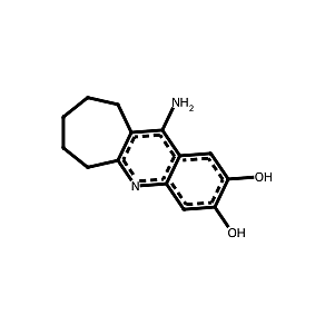 Nc1c2c(nc3cc(O)c(O)cc13)CCCCC2